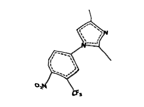 Cc1cn(-c2ccc([N+](=O)[O-])c(C(F)(F)F)c2)c(C)n1